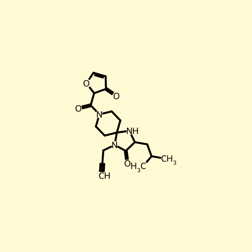 C#CCN1C(=O)C(CC(C)C)NC12CCN(C(=O)C1OC=CC1=O)CC2